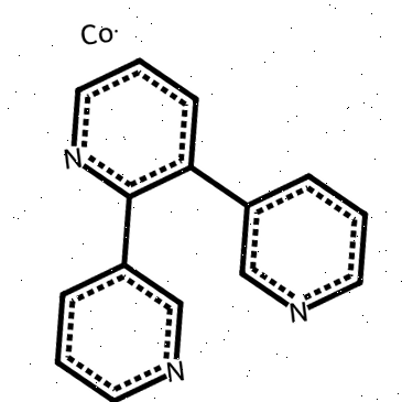 [Co].c1cncc(-c2cccnc2-c2cccnc2)c1